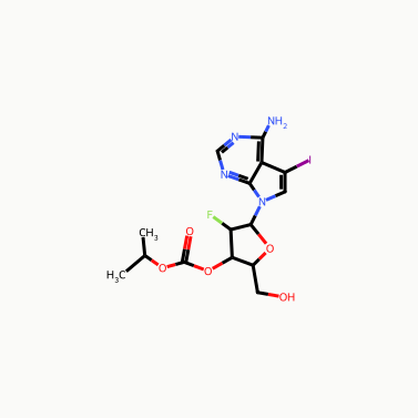 CC(C)OC(=O)OC1C(CO)OC(n2cc(I)c3c(N)ncnc32)C1F